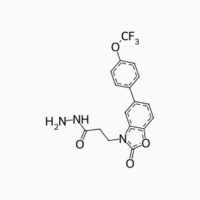 NNC(=O)CCn1c(=O)oc2ccc(-c3ccc(OC(F)(F)F)cc3)cc21